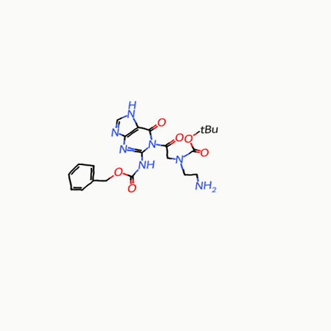 CC(C)(C)OC(=O)N(CCN)CC(=O)n1c(NC(=O)OCc2ccccc2)nc2nc[nH]c2c1=O